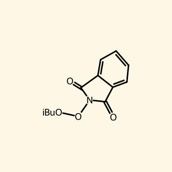 CC(C)COON1C(=O)c2ccccc2C1=O